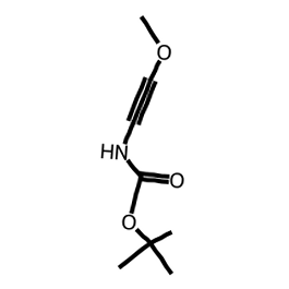 COC#CNC(=O)OC(C)(C)C